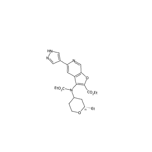 CCOC(=O)c1oc2cnc(-c3cn[nH]c3)cc2c1N(C(=O)OCC)C1CCO[C@@H](CC)C1